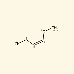 [CH2]O/C=C\CCl